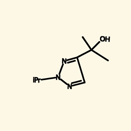 CC(C)n1ncc(C(C)(C)O)n1